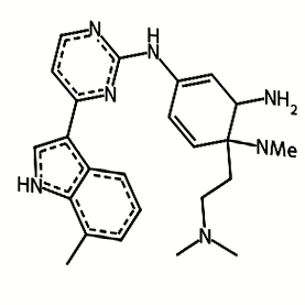 CNC1(CCN(C)C)C=CC(Nc2nccc(-c3c[nH]c4c(C)cccc34)n2)=CC1N